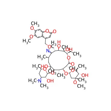 CC[C@H]1OC(=O)[C@H](C)[C@@H](OC2C[C@@](C)(OC)[C@@H](O)[C@H](C)O2)[C@H](C)[C@@H](OC2O[C@H](C)C[C@H](N(C)C)[C@H]2O)[C@](C)(O)C[C@@H](C)/C(=N/OCc2cc(=O)oc3cc(OC)c(OC)cc23)[C@H](C)[C@@H](O)[C@]1(C)O